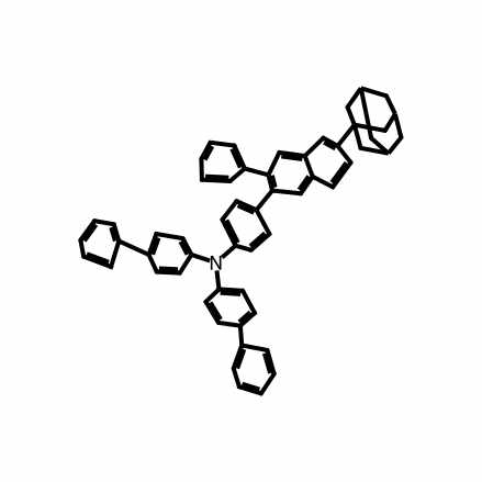 c1ccc(-c2ccc(N(c3ccc(-c4ccccc4)cc3)c3ccc(-c4cc5ccc(C67CC8CC(CC(C8)C6)C7)cc5cc4-c4ccccc4)cc3)cc2)cc1